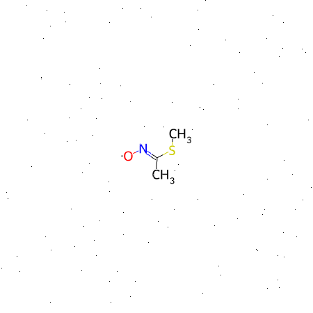 CSC(C)=N[O]